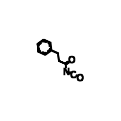 O=C=NC(=O)CCc1ccccc1